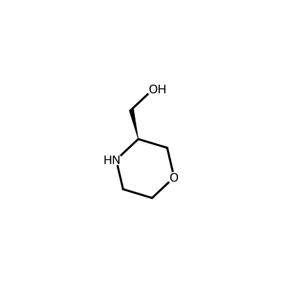 OC[C@H]1COCCN1